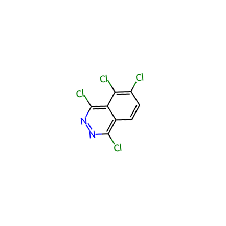 Clc1ccc2c(Cl)nnc(Cl)c2c1Cl